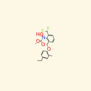 CCc1ccc(OCc2cccc(C(F)F)c2N(O)C(=O)OC)c(C)c1